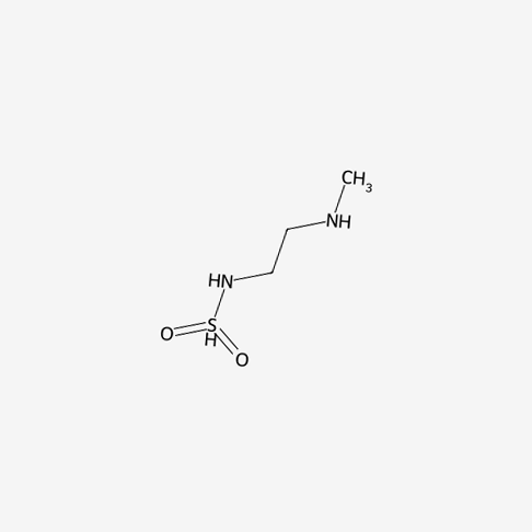 CNCCN[SH](=O)=O